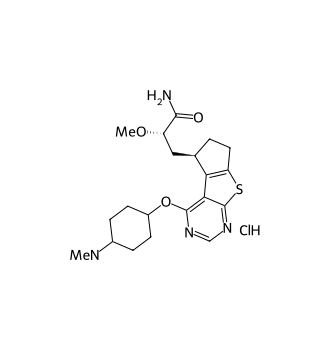 CNC1CCC(Oc2ncnc3sc4c(c23)[C@@H](C[C@H](OC)C(N)=O)CC4)CC1.Cl